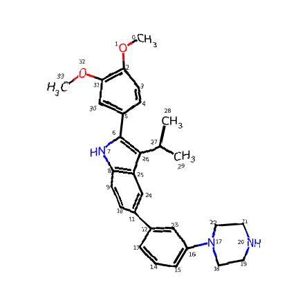 COc1ccc(-c2[nH]c3ccc(-c4cccc(N5CCNCC5)c4)cc3c2C(C)C)cc1OC